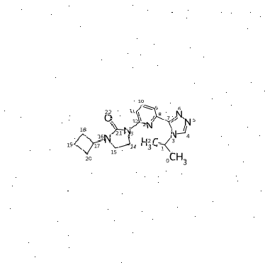 CC(C)n1cnnc1-c1cccc(N2CCN(C3CCC3)C2=O)n1